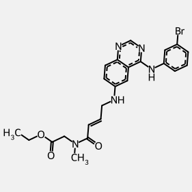 CCOC(=O)CN(C)C(=O)C=CCNc1ccc2ncnc(Nc3cccc(Br)c3)c2c1